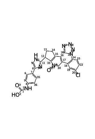 O=C(O)Nc1ccc(-c2c[nH]c(C3CCc4cc(-c5cc(Cl)ccc5-n5cnnn5)c[n+]([O-])c43)n2)cc1